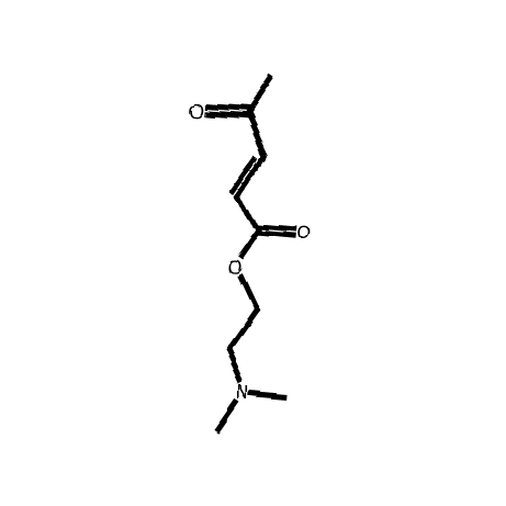 CC(=O)/C=C/C(=O)OCCN(C)C